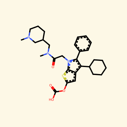 CN1CCCC(CN(C)C(=O)Cn2c(-c3ccccc3)c(C3CCCCC3)c3cc(OC(=O)O)sc32)C1